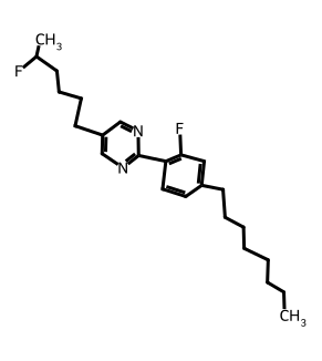 CCCCCCCCc1ccc(-c2ncc(CCCCC(C)F)cn2)c(F)c1